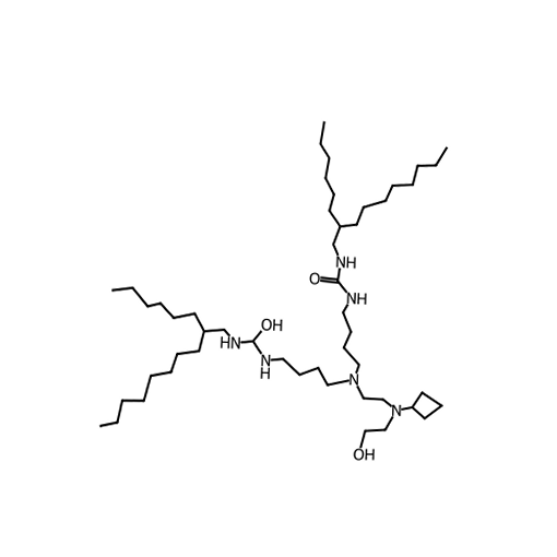 CCCCCCCCC(CCCCCC)CNC(=O)NCCCCN(CCCCNC(O)NCC(CCCCCC)CCCCCCCC)CCN(CCO)C1CCC1